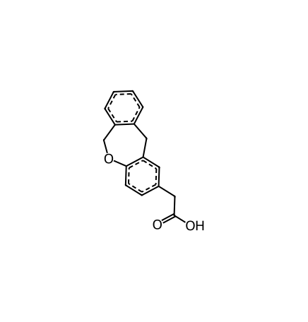 O=C(O)Cc1ccc2c(c1)Cc1ccccc1CO2